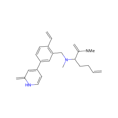 C=CCCC(C(=C)NC)N(C)Cc1cc(C2=CC(=C)NC=C2)ccc1C=C